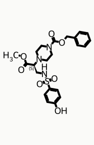 COC(=O)[C@H](CNS(=O)(=O)c1ccc(O)cc1)N1CCN(C(=O)OCc2ccccc2)CC1